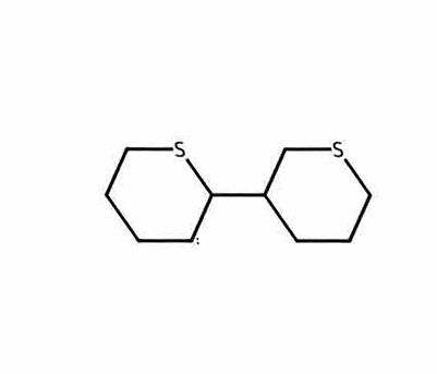 [C]1CCCSC1C1CCCSC1